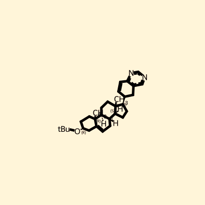 CC(C)(C)O[C@@H]1CC[C@@]2(C)C(=CC[C@H]3[C@@H]4CC[C@H](C5C=Cc6ncncc6C5)[C@@]4(C)CC[C@@H]32)C1